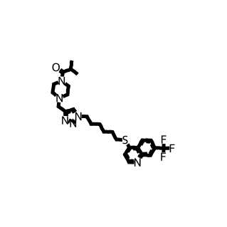 CC(C)C(=O)N1CCN(Cc2cn(CCCCCCSc3ccnc4cc(C(F)(F)F)ccc34)nn2)CC1